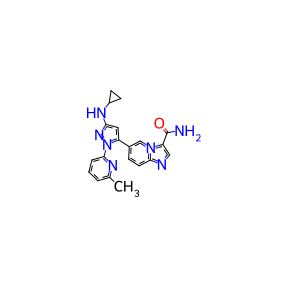 Cc1cccc(-n2nc(NC3CC3)cc2-c2ccc3ncc(C(N)=O)n3c2)n1